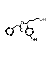 O=C(Cc1ccccc1)OC(CCCO)c1ccc(O)cc1